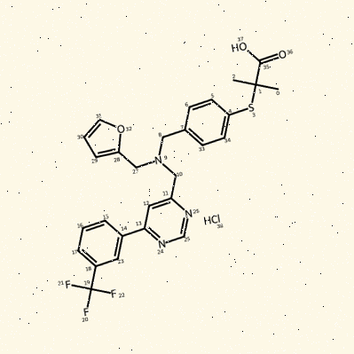 CC(C)(Sc1ccc(CN(Cc2cc(-c3cccc(C(F)(F)F)c3)ncn2)Cc2ccco2)cc1)C(=O)O.Cl